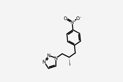 C[C@@H](Cc1ccc([N+](=O)[O-])cc1)Cn1ccnn1